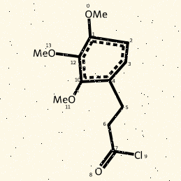 COc1ccc(CCC(=O)Cl)c(OC)c1OC